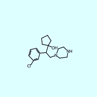 OC1(C(CN2CCNCC2)c2cccc(Cl)c2)CCCC1